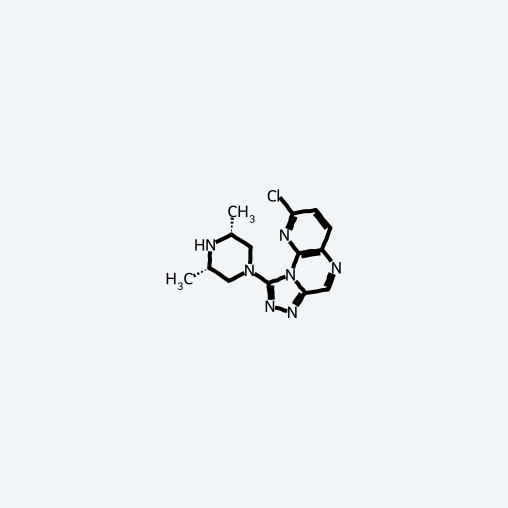 C[C@@H]1CN(c2nnc3cnc4ccc(Cl)nc4n23)C[C@H](C)N1